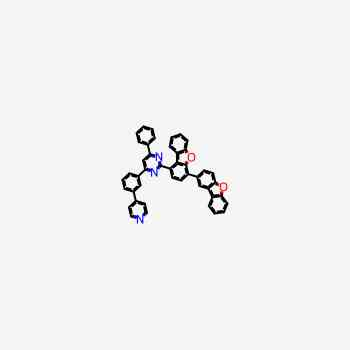 c1ccc(-c2cc(-c3cccc(-c4ccncc4)c3)nc(-c3ccc(-c4ccc5oc6ccccc6c5c4)c4oc5ccccc5c34)n2)cc1